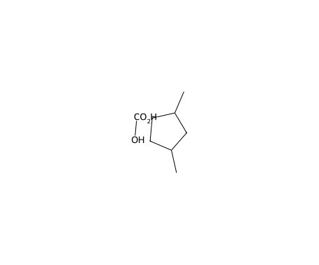 CC1CCC(C)C1.O=C(O)O